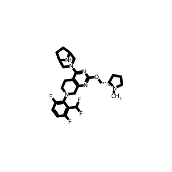 CN1CCC[C@H]1COc1nc2c(c(N3CC4CCC(C3)N4)n1)CCN(c1c(F)ccc(F)c1C(F)F)C2